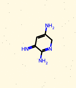 N=C1C=C(N)CN=C1N